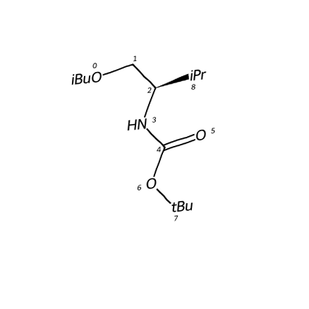 CC(C)[CH]OC[C@H](NC(=O)OC(C)(C)C)C(C)C